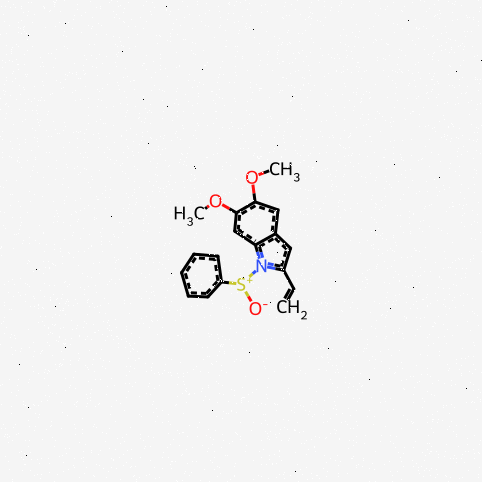 C=Cc1cc2cc(OC)c(OC)cc2n1[S+]([O-])c1ccccc1